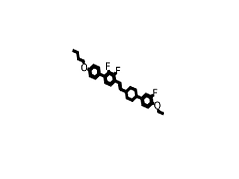 CCCCOc1ccc(-c2ccc(/C=C/C3CCC(c4ccc(OCC)c(F)c4)CC3)c(F)c2F)cc1